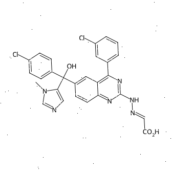 Cn1cncc1C(O)(c1ccc(Cl)cc1)c1ccc2nc(N/N=C/C(=O)O)nc(-c3cccc(Cl)c3)c2c1